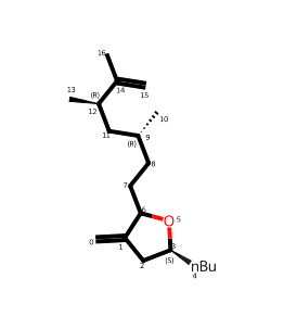 C=C1C[C@H](CCCC)OC1CC[C@@H](C)C[C@@H](C)C(=C)C